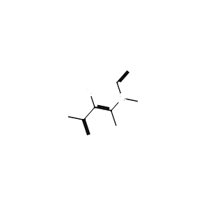 C=CN(C)/C(C)=C(\N)C(=C)C